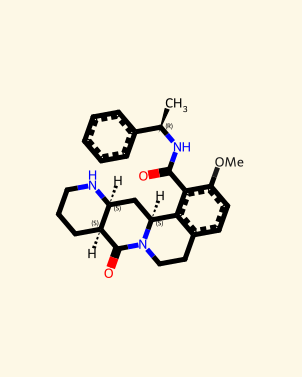 COc1ccc2c(c1C(=O)N[C@H](C)c1ccccc1)[C@@H]1C[C@@H]3NCCC[C@@H]3C(=O)N1CC2